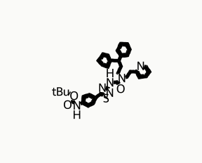 CC(C)(C)OC(=O)Nc1ccc(-c2nc(NC(=O)N(CCc3ccccn3)CCC(c3ccccc3)c3ccccc3)ns2)cc1